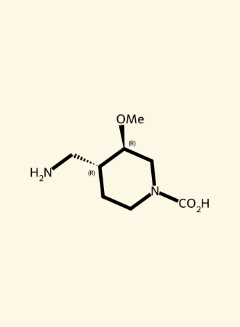 CO[C@H]1CN(C(=O)O)CC[C@@H]1CN